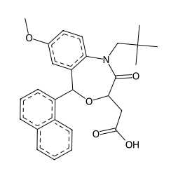 COc1ccc2c(c1)C(c1cccc3ccccc13)OC(CC(=O)O)C(=O)N2CC(C)(C)C